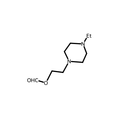 CCN1CCN(CCOC=O)CC1